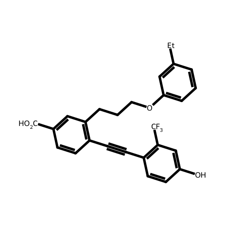 CCc1cccc(OCCCc2cc(C(=O)O)ccc2C#Cc2ccc(O)cc2C(F)(F)F)c1